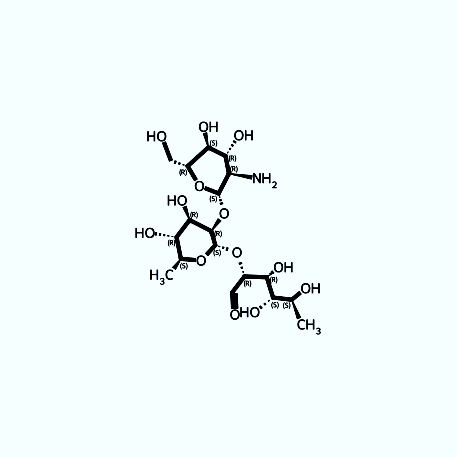 C[C@H](O)[C@H](O)[C@@H](O)[C@H](C=O)O[C@@H]1O[C@@H](C)[C@H](O)[C@@H](O)[C@H]1O[C@@H]1O[C@H](CO)[C@@H](O)[C@H](O)[C@H]1N